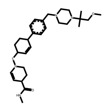 CNC(=O)C1C=CN(SC2C=CC(c3ccc(CN4CCN(C(C)(C)COC)CC4)cc3)CC2)CC1